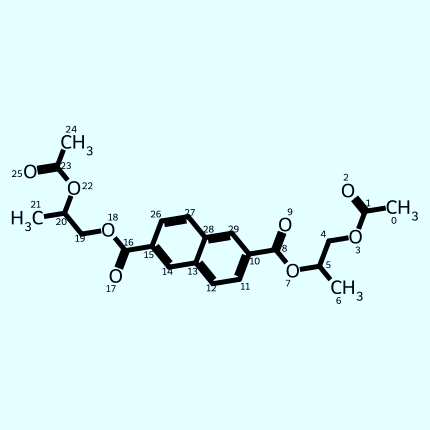 CC(=O)OCC(C)OC(=O)c1ccc2cc(C(=O)OCC(C)OC(C)=O)ccc2c1